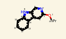 CCCOc1cc2c(cn1)[nH]c1ccccc12